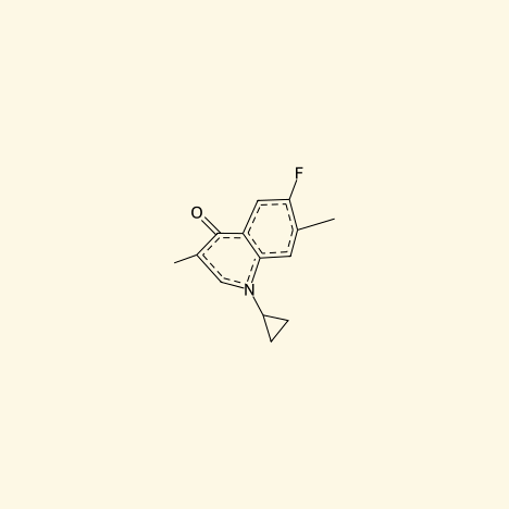 Cc1cc2c(cc1F)c(=O)c(C)cn2C1CC1